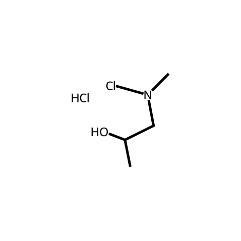 CC(O)CN(C)Cl.Cl